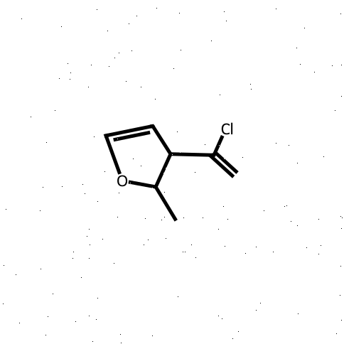 C=C(Cl)C1C=COC1C